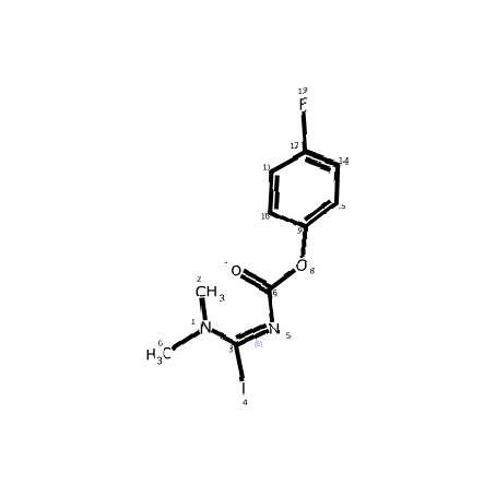 CN(C)/C(I)=N\C(=O)Oc1ccc(F)cc1